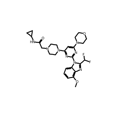 COc1cccc2c1nc(C(F)F)n2-c1nc(N2CCOCC2)cc(N2CCN(CC(=O)NC3CC3)CC2)n1